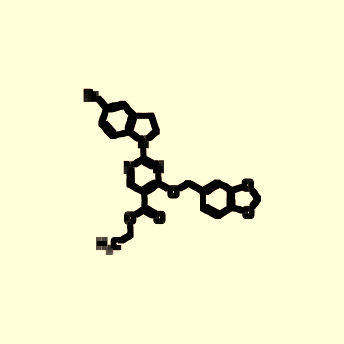 CCOC(=O)c1cnc(N2CCc3cc(Br)ccc32)nc1OCc1ccc2c(c1)OCO2